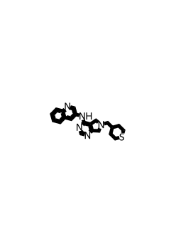 c1ccc2ncc(Nc3ncnc4c3CN(CC3CCSCC3)C4)cc2c1